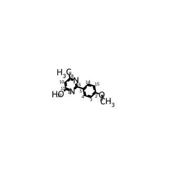 COc1ccc(-c2nc(C)cc(O)n2)cc1